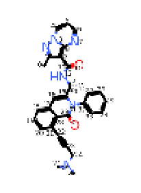 Cc1nn2cccnc2c1C(=O)N[C@H](C)c1cc2cccc(C#CCN(C)C)c2c(=O)n1-c1ccccc1